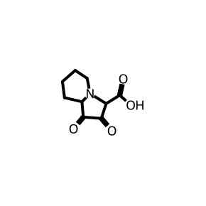 O=C1C(=O)C(C(=O)O)N2CCCCC12